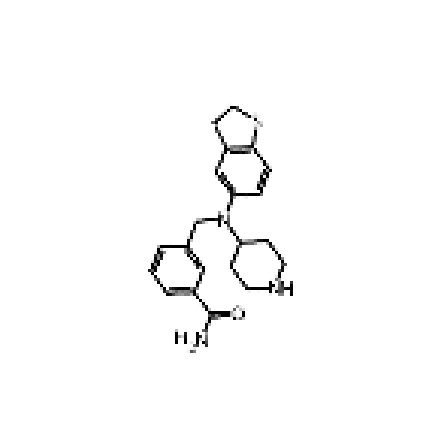 NC(=O)c1cccc(CN(c2ccc3c(c2)CCS3)C2CCNCC2)c1